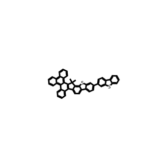 CC1(C)c2c(ccc3c2sc2cc(-c4ccc5c(c4)sc4ccccc45)ccc23)-c2c1c1c3ccccc3c3ccccc3c1c1ccccc21